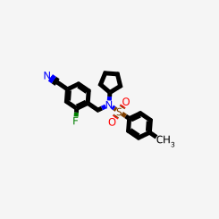 Cc1ccc(S(=O)(=O)N(Cc2ccc(C#N)cc2F)C2CCCC2)cc1